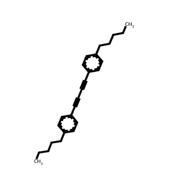 CCCCCc1ccc(C#CC#Cc2ccc(CCCCC)cc2)cc1